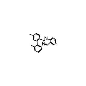 Cc1ccc(-c2ncc3ccccc3n2)c(-c2ccccc2C)c1